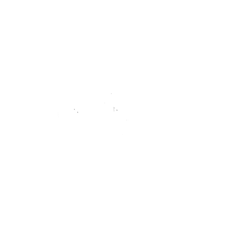 CCN1CCC2(CC1)CN2C(=O)c1ccccc1